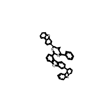 C1=C/C(c2ccccc2)=N\C(c2cccc3oc4cc(-c5cccc6sc7ccccc7c56)ccc4c23)=N/C(c2ccc3c(c2)sc2ccccc23)=C/1